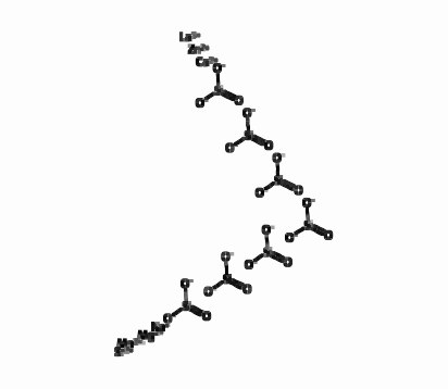 O=[Si]([O-])[O-].O=[Si]([O-])[O-].O=[Si]([O-])[O-].O=[Si]([O-])[O-].O=[Si]([O-])[O-].O=[Si]([O-])[O-].O=[Si]([O-])[O-].[Ca+2].[La+3].[Mg+2].[Mn+2].[Na+].[Sr+2].[Zn+2]